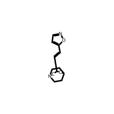 C(=C\C1CC2CCN(CC2)C1)/c1ccno1